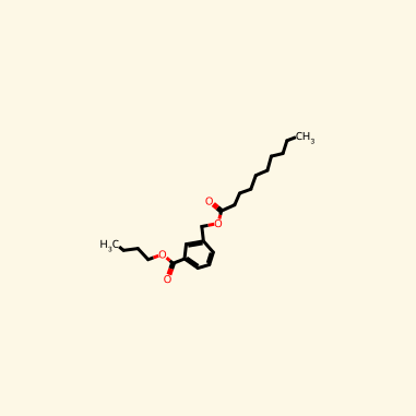 CCCCCCCCCC(=O)OCc1cccc(C(=O)OCCCC)c1